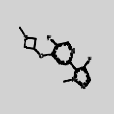 CN1CC(Oc2cc(-c3c(F)cnn3C)ncc2F)C1